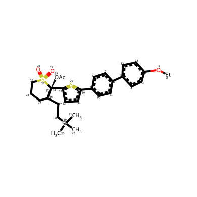 CCOc1ccc(-c2ccc(-c3ccc([C@]4(OC(C)=O)C(CC[Si](C)(C)C)CCCS4(=O)=O)s3)cc2)cc1